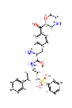 N[C@@H](Cc1ccc(C(=O)C2CNCCO2)cc1)C(=O)N[C@H](C=CS(=O)(=O)c1ccccc1)CCc1ccccc1